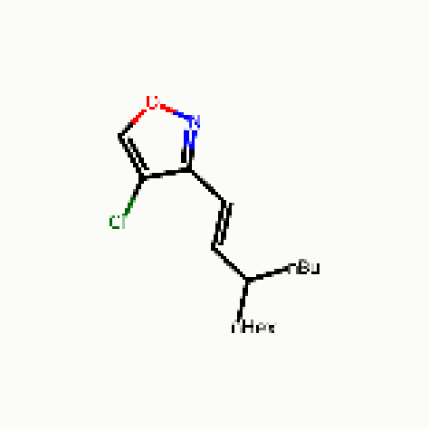 CCCCCCC(/C=C/c1nocc1Cl)CCCC